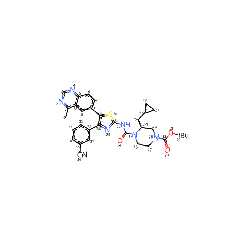 Cc1ncnc2ccc(-c3sc(NC(=O)N4CCN(C(=O)OC(C)(C)C)CC4CC4CC4)nc3-c3cccc(C#N)c3)cc12